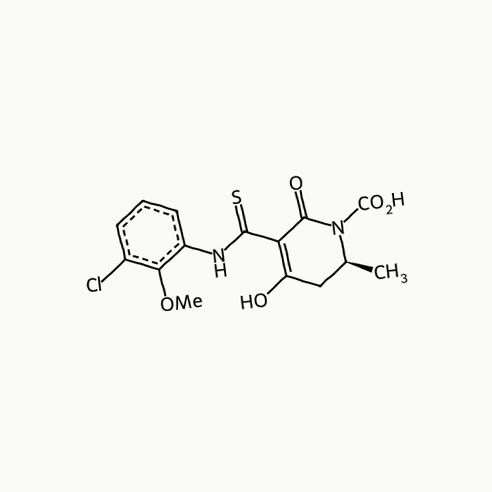 COc1c(Cl)cccc1NC(=S)C1=C(O)C[C@H](C)N(C(=O)O)C1=O